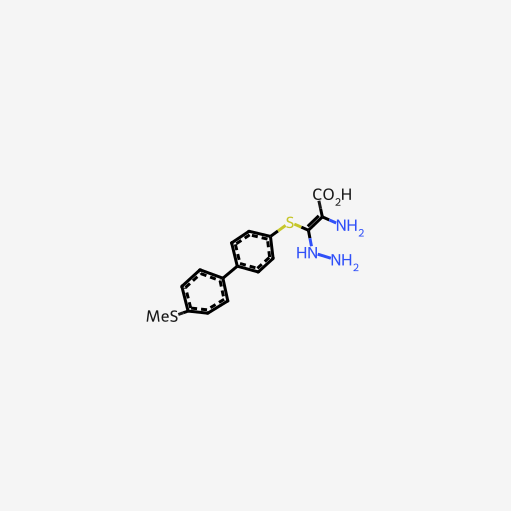 CSc1ccc(-c2ccc(S/C(NN)=C(/N)C(=O)O)cc2)cc1